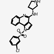 O=S(=O)(c1cccc(Cl)c1)n1ccc2c(N[C@H]3CCNC3)nc3ccccc3c21